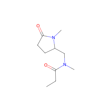 CCC(=O)N(C)CC1CCC(=O)N1C